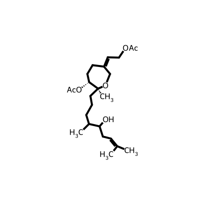 CC(=O)OCC=C1CC[C@@H](OC(C)=O)[C@](C)(CCCC(C)C(O)CC=C(C)C)OC1